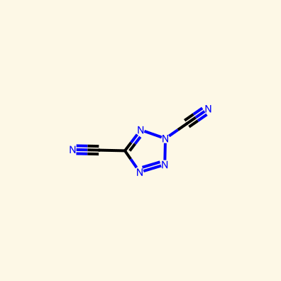 N#Cc1nnn(C#N)n1